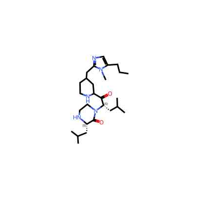 CCCc1cnc(CC2CCNC(C(=O)[C@H](CC(C)C)N3CCN[C@@H](CC(C)C)C3=O)C2)n1C